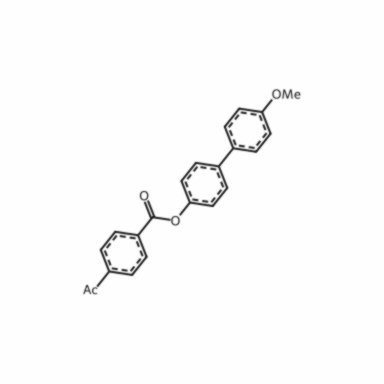 COc1ccc(-c2ccc(OC(=O)c3ccc(C(C)=O)cc3)cc2)cc1